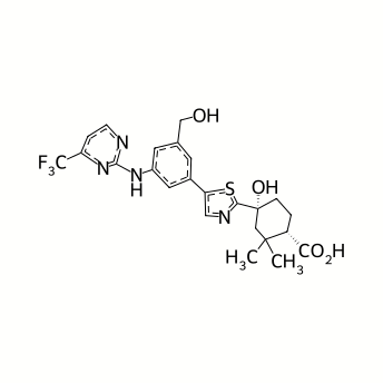 CC1(C)C[C@@](O)(c2ncc(-c3cc(CO)cc(Nc4nccc(C(F)(F)F)n4)c3)s2)CC[C@@H]1C(=O)O